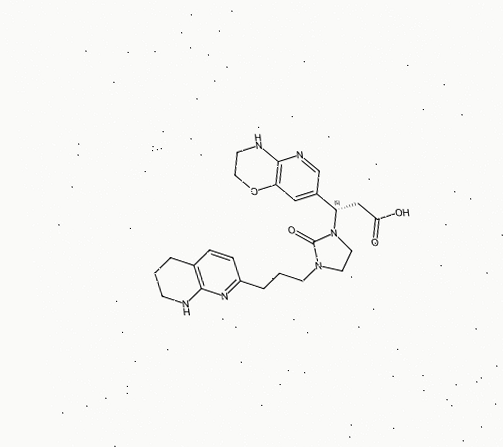 O=C(O)C[C@@H](c1cnc2c(c1)OCCN2)N1CCN(CCCc2ccc3c(n2)NCCC3)C1=O